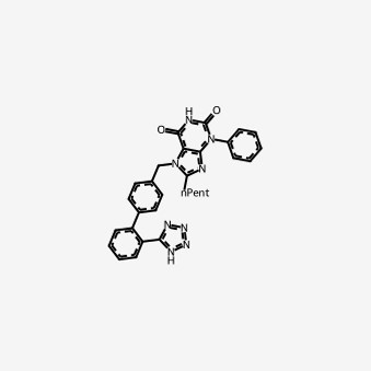 CCCCCc1nc2c(c(=O)[nH]c(=O)n2-c2ccccc2)n1Cc1ccc(-c2ccccc2-c2nnn[nH]2)cc1